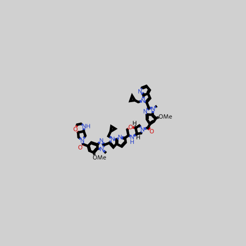 COc1cc(C(=O)N2C[C@@H]3OCC(c4ccc5cc(-c6nc7cc(C(=O)N8CC9NCCOC9C8)cc(OC)c7n6C)n(CC6CC6)c5n4)N[C@@H]3C2)cc2nc(-c3cc4cccnc4n3CC3CC3)n(C)c12